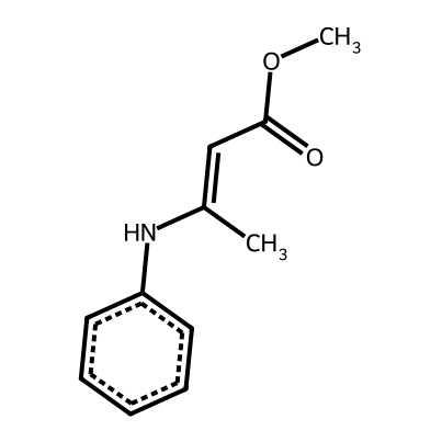 COC(=O)/C=C(\C)Nc1ccccc1